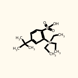 CC[Si](CC)(CC)c1cc(C(C)(C)C)ccc1S(=O)(=O)O